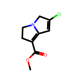 COC(=O)C1=C2C=C(Cl)CN2CC1